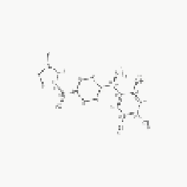 CN1CC[C@H](C(=O)N2CCC([C@@H](N)c3cc(Cl)c(Cl)cc3O)CC2)C1